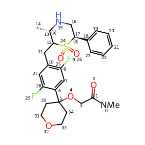 CNC(=O)COC1(c2cc(F)c(CC3[C@H](C)NC[C@@H](c4ccccc4)S3(=O)=O)cc2F)CCOCC1